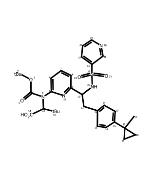 CC(C)(C)OC(=O)N(c1cccc(C(Cc2ccc(C3(C)CC3)cc2)NS(=O)(=O)c2cccnc2)n1)C(C(=O)O)C(C)(C)C